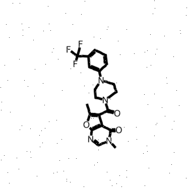 Cc1oc2ncn(C)c(=O)c2c1C(=O)N1CCN(c2cccc(C(F)(F)F)c2)CC1